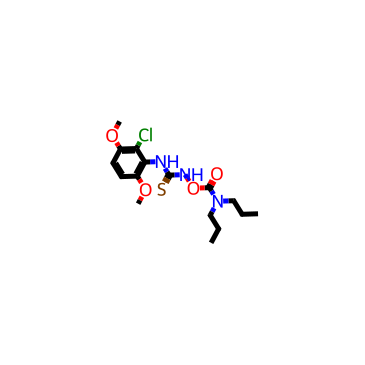 CCCN(CCC)C(=O)ONC(=S)Nc1c(OC)ccc(OC)c1Cl